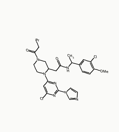 COc1ccc(C(C)NC(=O)CC2CN(C(=O)CC(C)C)CCN2c2cc(Cl)nc(-n3ccnc3)n2)cc1Cl